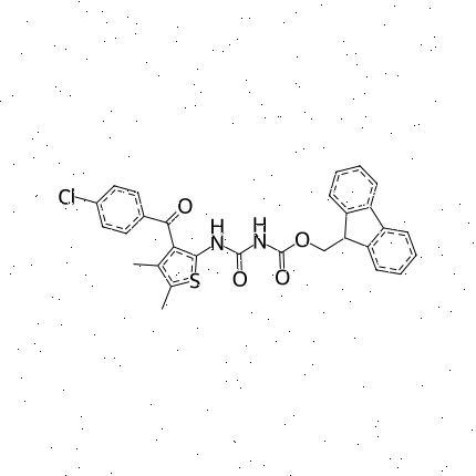 Cc1sc(NC(=O)NC(=O)OCC2c3ccccc3-c3ccccc32)c(C(=O)c2ccc(Cl)cc2)c1C